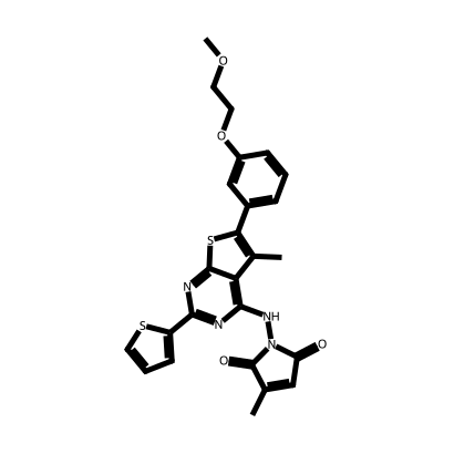 COCCOc1cccc(-c2sc3nc(-c4cccs4)nc(NN4C(=O)C=C(C)C4=O)c3c2C)c1